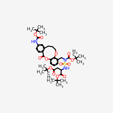 CC(C)(C)OC(=O)CC(NS(=O)(=O)N(Cc1cccc2c1OCCCc1cc(NC(=O)OC(C)(C)C)ccc1C(=O)O2)C(=O)OC(C)(C)C)C(=O)OC(C)(C)C